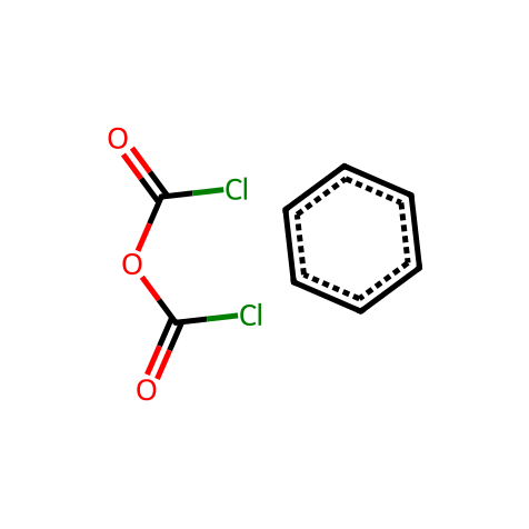 O=C(Cl)OC(=O)Cl.c1ccccc1